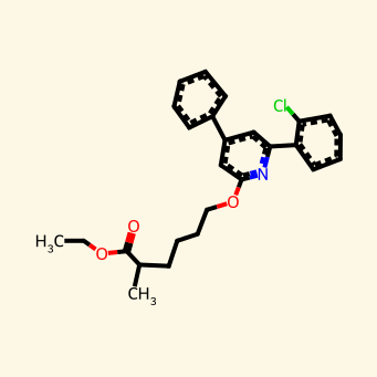 CCOC(=O)C(C)CCCCOc1cc(-c2ccccc2)cc(-c2ccccc2Cl)n1